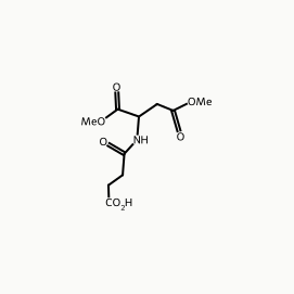 COC(=O)CC(NC(=O)CCC(=O)O)C(=O)OC